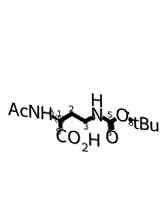 CC(=O)N[C@@H](CCNC(=O)OC(C)(C)C)C(=O)O